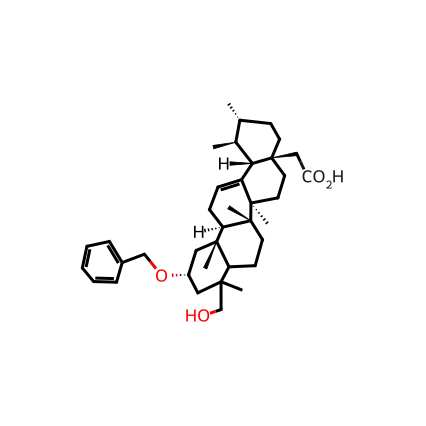 C[C@H]1[C@H](C)CC[C@]2(CC(=O)O)CC[C@]3(C)C(=CC[C@@H]4[C@@]5(C)C[C@@H](OCc6ccccc6)CC(C)(CO)C5CC[C@]43C)[C@H]12